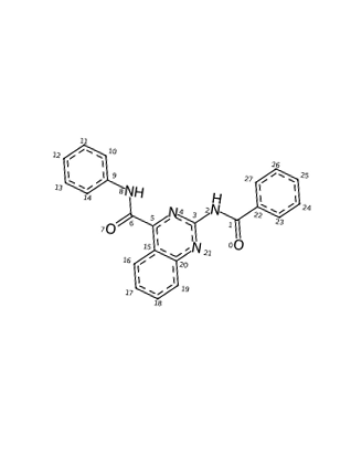 O=C(Nc1nc(C(=O)Nc2ccccc2)c2ccccc2n1)c1ccccc1